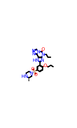 CCCOc1ccc(S(=O)(=O)N2CCN[C@H](C)C2)cc1-c1nc2c([nH]1)c1nncn1c(=O)n2CCC